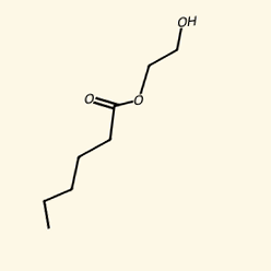 CCCCCC(=O)OCCO